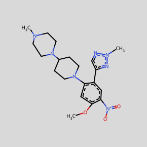 COc1cc(N2CCC(N3CCN(C)CC3)CC2)c(-c2cnn(C)n2)cc1[N+](=O)[O-]